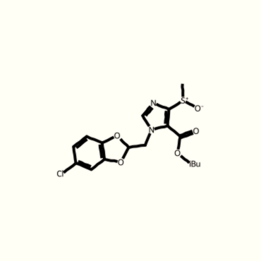 CCC(C)OC(=O)c1c([S+](C)[O-])ncn1CC1Oc2ccc(Cl)cc2O1